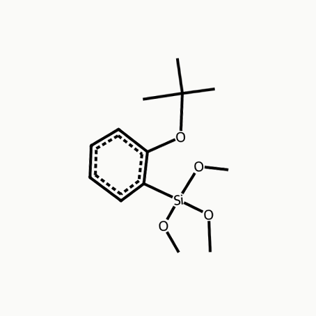 CO[Si](OC)(OC)c1ccccc1OC(C)(C)C